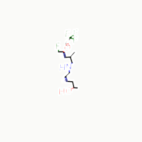 CC(O)C/C=C\CNCC(C)/C=C(/CF)OCC(F)(F)F